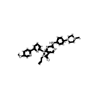 C=CCn1c(=O)c2cnc(Nc3ccc(N4CCN(C)CC4)cc3)nc2n1-c1cccc(-c2ccc(OC)cn2)n1